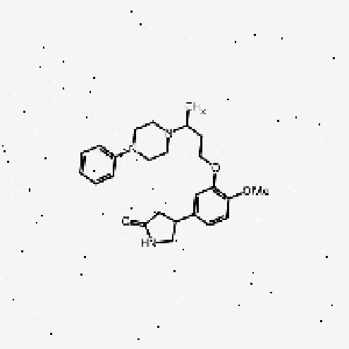 COc1ccc(C2CNC(=O)C2)cc1OCCC(C)N1CCN(c2ccccc2)CC1